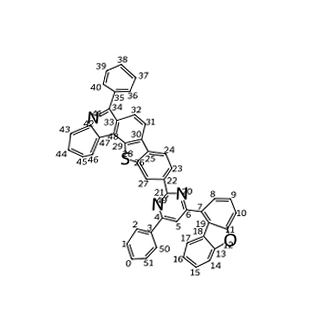 c1ccc(-c2cc(-c3cccc4oc5ccccc5c34)nc(-c3ccc4c(c3)sc3c4ccc4c(-c5ccccc5)nc5ccccc5c43)n2)cc1